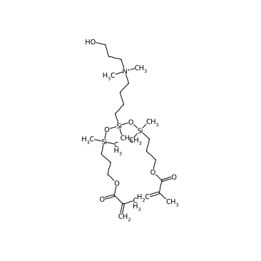 C=C(C)C(=O)OCCC[Si](C)(C)O[Si](C)(CCCC[N+](C)(C)CCCO)O[Si](C)(C)CCCOC(=O)C(=C)C